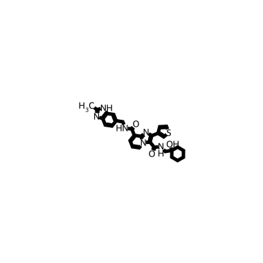 Cc1nc2ccc(CNC(=O)c3cccn4c(C(=O)NCC5(O)CCCCC5)c(-c5ccsc5)nc34)cc2[nH]1